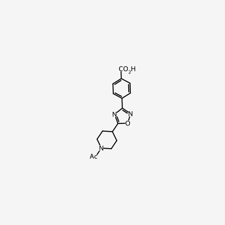 CC(=O)N1CCC(c2nc(-c3ccc(C(=O)O)cc3)no2)CC1